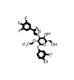 CCO[C@@H]1[C@@H](n2cc(-c3cc(F)c(F)c(F)c3)nn2)[C@@H](O)[C@@H](CO)O[C@@H]1Sc1ccc(Cl)c(Cl)c1